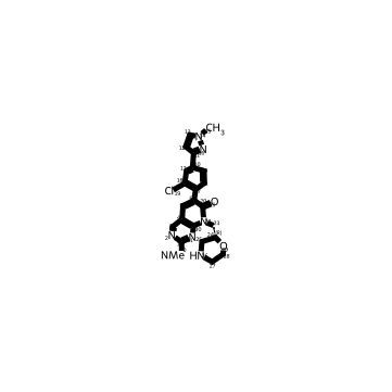 CNc1ncc2cc(-c3ccc(-c4ccn(C)n4)cc3Cl)c(=O)n(C[C@H]3CNCCO3)c2n1